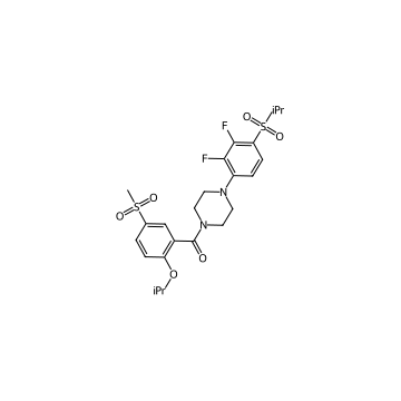 CC(C)Oc1ccc(S(C)(=O)=O)cc1C(=O)N1CCN(c2ccc(S(=O)(=O)C(C)C)c(F)c2F)CC1